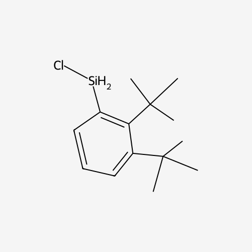 CC(C)(C)c1cccc([SiH2]Cl)c1C(C)(C)C